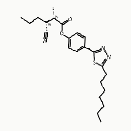 CCCCCCCc1nnc(-c2ccc(OC(=O)[C@@H](C)[C@H](C#N)CCC)cc2)s1